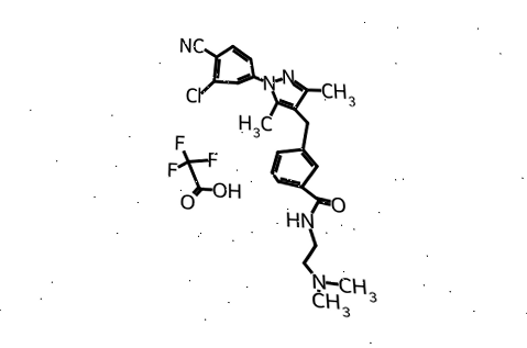 Cc1nn(-c2ccc(C#N)c(Cl)c2)c(C)c1Cc1cccc(C(=O)NCCN(C)C)c1.O=C(O)C(F)(F)F